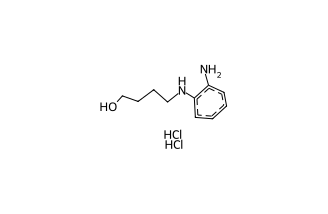 Cl.Cl.Nc1ccccc1NCCCCO